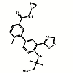 Cc1ccc(C(=O)NC2CC2)cc1-c1cnc(NC(C)(C)CO)c(-c2ncco2)c1